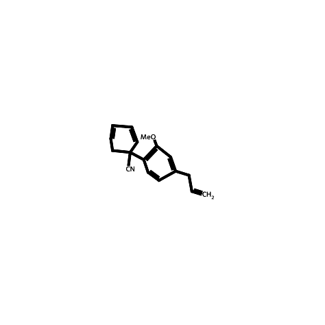 C=CCc1ccc(C2(C#N)C=CC=CC2)c(OC)c1